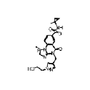 C[C@@H]1CN=C2N(Cc3cnn(CCO)c3)C(=O)c3cc(S(=O)(=O)NC4(C)CC4)ccc3N21